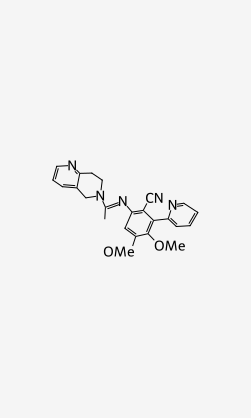 COc1cc(N=C(C)N2CCc3ncccc3C2)c(C#N)c(-c2ccccn2)c1OC